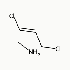 CN.ClC=CCCl